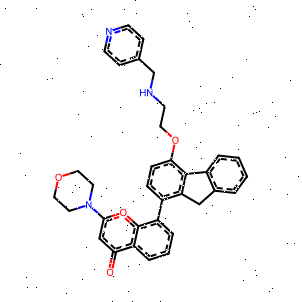 O=c1cc(N2CCOCC2)oc2c(-c3ccc(OCCNCc4ccncc4)c4c3Cc3ccccc3-4)cccc12